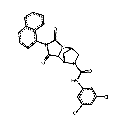 O=C1C2C3CC(CN3C(=O)Nc3cc(Cl)cc(Cl)c3)N2C(=O)N1c1cccc2ccccc12